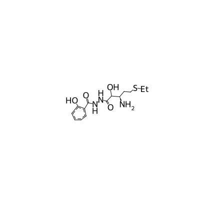 CCSCC[C@@H](N)C(O)C(=O)NNC(=O)c1ccccc1O